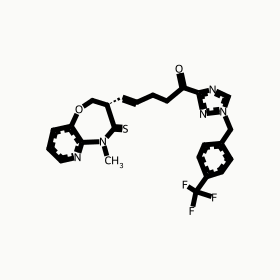 CN1C(=S)[C@@H](/C=C/CCC(=O)c2ncn(Cc3ccc(C(F)(F)F)cc3)n2)COc2cccnc21